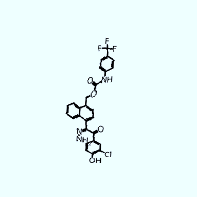 NN=C(C(=O)c1ccc(O)c(Cl)c1)c1ccc(COC(=O)Nc2ccc(C(F)(F)F)cc2)c2ccccc12